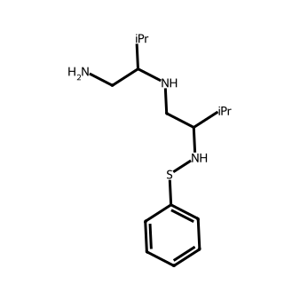 CC(C)C(CN)NCC(NSc1ccccc1)C(C)C